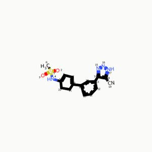 CS(=O)(=O)NC1=CC=C(c2cccc(-c3nn[nH]c3C#N)c2)CC1